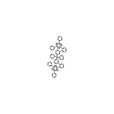 c1ccc(-c2nc(-c3ccccc3)nc(-c3ccccc3-c3cccc([Si](c4ccccc4)(c4ccccc4)c4cccc(-c5ccccc5-c5nc(-c6ccccc6)nc(-c6ccccc6)n5)c4)c3)n2)cc1